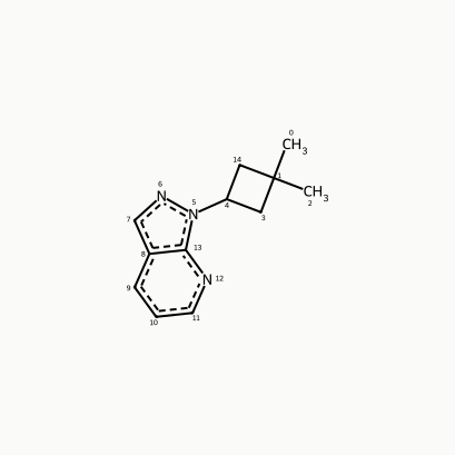 CC1(C)CC(n2ncc3cccnc32)C1